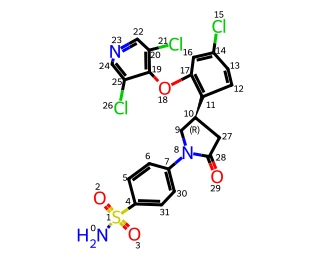 NS(=O)(=O)c1ccc(N2C[C@@H](c3ccc(Cl)cc3Oc3c(Cl)cncc3Cl)CC2=O)cc1